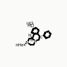 CCCCCCN1CCN2C[C@@H](c3ccccc3)c3ccccc3[C@H]2C1.Cl.Cl